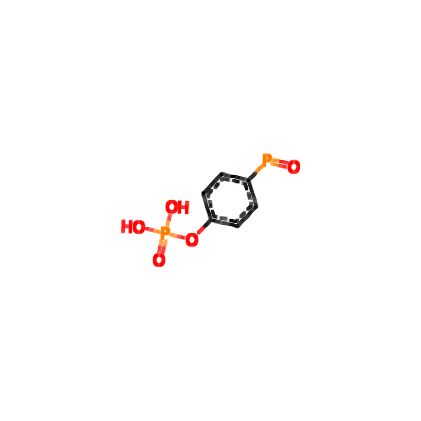 O=Pc1ccc(OP(=O)(O)O)cc1